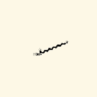 O=C(CCCCCCCCCCCS)NO